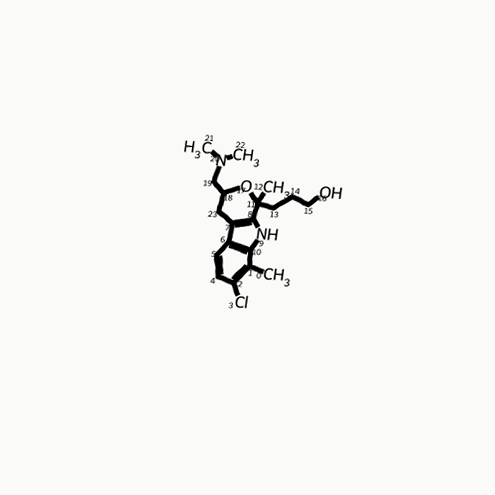 Cc1c(Cl)ccc2c3c([nH]c12)C(C)(CCCO)OC(CN(C)C)C3